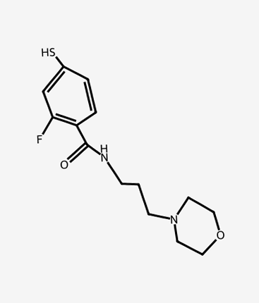 O=C(NCCCN1CCOCC1)c1ccc(S)cc1F